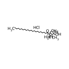 CCCCCCCCCCCCCCCCCCCCCC(=O)NC(CC)C(C(O)CO)N(C)C.Cl